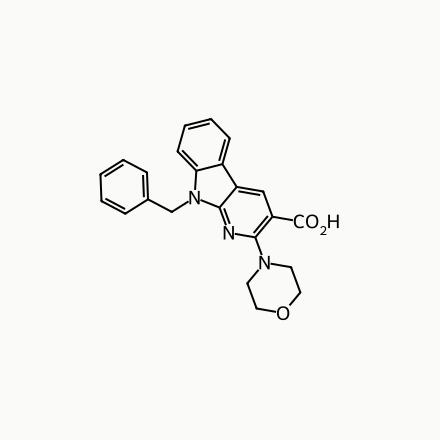 O=C(O)c1cc2c3ccccc3n(Cc3ccccc3)c2nc1N1CCOCC1